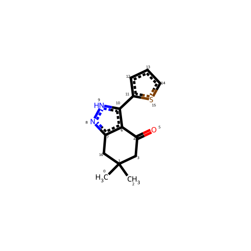 CC1(C)CC(=O)c2c(n[nH]c2-c2cccs2)C1